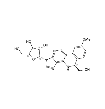 COc1ccc([C@@H](CO)Nc2ncnc3c2ncn3[C@@H]2O[C@H](CO)C(O)[C@@H]2O)cc1